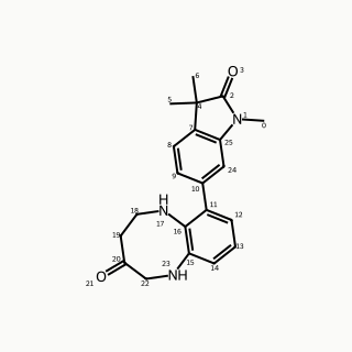 CN1C(=O)C(C)(C)c2ccc(-c3cccc4c3NCCC(=O)CN4)cc21